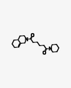 O=C(CCCCC(=O)N1CCC2CCCC=C2C1)N1CCCCC1